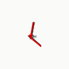 CCCCCCCCCCCCCCCCC(C)c1cc(C)cc(C(C)CCCCCCCCCCCCCCCC)c1O